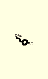 CCc1ccc(/C=C/COC(C)=O)cc1